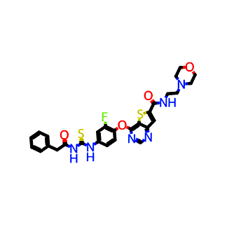 O=C(Cc1ccccc1)NC(=S)Nc1ccc(Oc2ncnc3cc(C(=O)NCCN4CCOCC4)sc23)c(F)c1